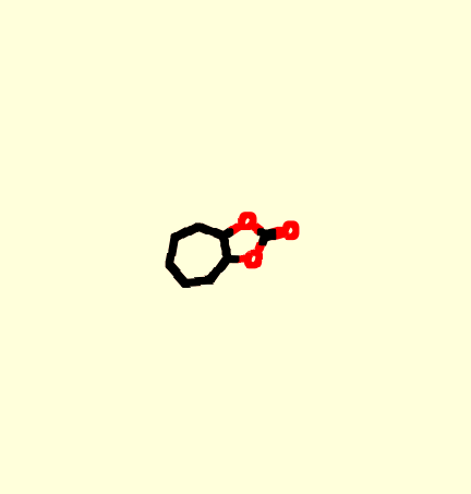 O=C1OC2CCCCCC2O1